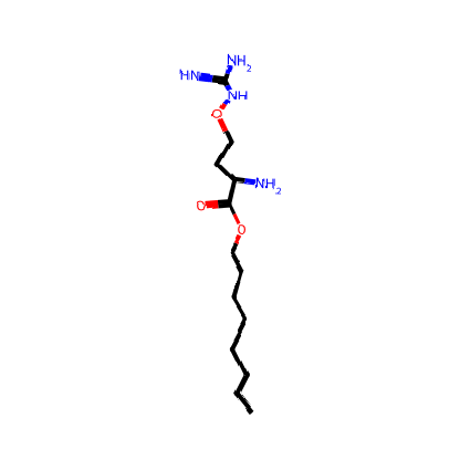 CCCCCCCCOC(=O)C(N)CCONC(=N)N